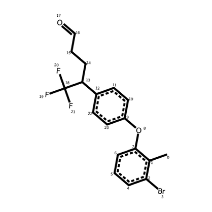 Cc1c(Br)cccc1Oc1ccc(C(CCC=O)C(F)(F)F)cc1